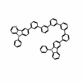 c1ccc(-n2c3ccccc3c3cc(-c4cccc(-c5cccc(-c6cccc(-c7cccc(-c8cccc(-c9ccc%10c(c9)c9ncccc9n%10-c9ccccc9)c8)c7)c6)c5)c4)ccc32)cc1